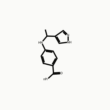 CCCC(=O)c1ccc(NC(C)c2cn[nH]c2)cc1